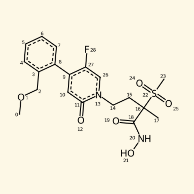 COCc1ccccc1-c1cc(=O)n(CCC(C)(C(=O)NO)S(C)(=O)=O)cc1F